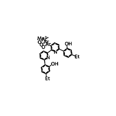 CC(=O)[O-].CC(=O)[O-].CC(=O)[O-].CCc1ccc(-c2cccc(-c3cccc(-c4ccc(CC)cc4O)n3)n2)c(O)c1.[Mn+3]